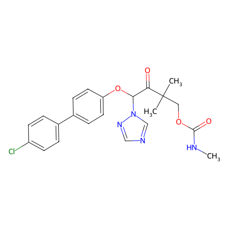 CNC(=O)OCC(C)(C)C(=O)C(Oc1ccc(-c2ccc(Cl)cc2)cc1)n1cncn1